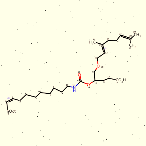 CCCCCCCC/C=C\CCCCCCCCNC(=O)OC(CCC(=O)O)COC/C=C(\C)CCC=C(C)C